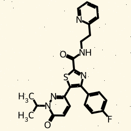 CC(C)n1nc(-c2sc(C(=O)NCCc3ccccn3)nc2-c2ccc(F)cc2)ccc1=O